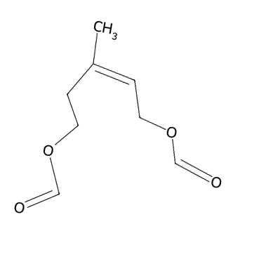 CC(=CCOC=O)CCOC=O